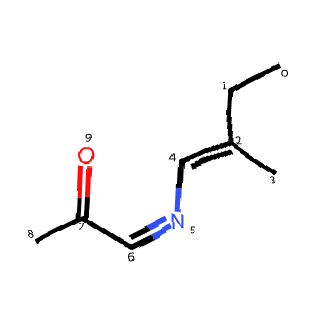 CC/C(C)=C/N=C\C(C)=O